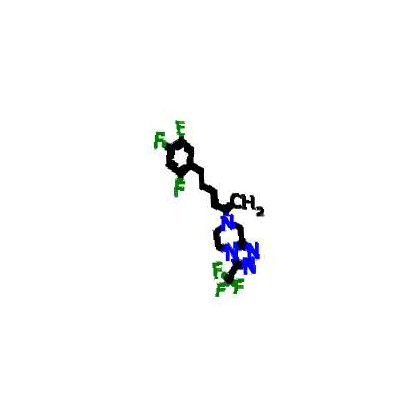 C=C(/C=C/CCc1cc(F)c(F)cc1F)N1CCn2c(nnc2C(F)(F)F)C1